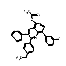 NCc1ccc(-c2nc3c(-c4cccc(F)c4)cnc(OC(=O)C(F)(F)F)c3cc2-c2ccccc2)cc1